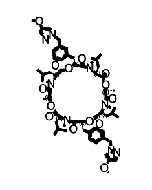 COc1cnn(Cc2ccc(C[C@H]3OC(=O)[C@H](CC(C)C)N(C)C(=O)[C@@H](C)OC(=O)[C@H](CC(C)C)N(C)C(=O)[C@@H](Cc4cccc(Cn5cc(OC)cn5)c4)OC(=O)[C@H](CC(C)C)N(C)C(=O)[C@@H](C)OC(=O)[C@H](CC(C)C)N(C)C3=O)cc2)c1